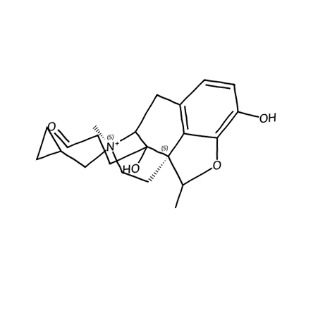 CC1Oc2c(O)ccc3c2[C@@]12CC[N@@+](C)(CC1CC1)C(C3)C2(O)CCC=O